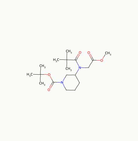 COC(=O)CN(C(=O)C(C)(C)C)C1CCCN(C(=O)OC(C)(C)C)C1